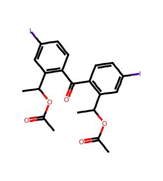 CC(=O)OC(C)c1cc(I)ccc1C(=O)c1ccc(I)cc1C(C)OC(C)=O